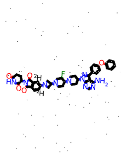 [2H]c1cc2c(c([2H])c1N1CC(N3CCC(N4CCC(n5nc(-c6ccc(Oc7ccccc7)cc6)c6c(N)ncnc65)CC4)C(F)C3)C1)C(=O)N(C1CCC(=O)NC1=O)C2=O